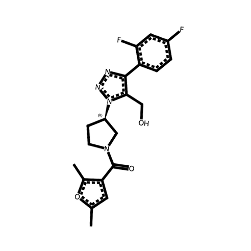 Cc1cc(C(=O)N2CC[C@@H](n3nnc(-c4ccc(F)cc4F)c3CO)C2)c(C)o1